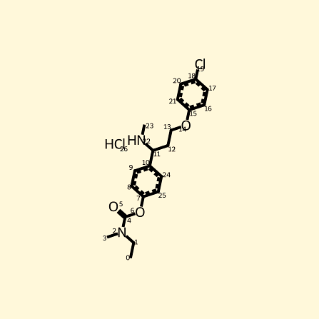 CCN(C)C(=O)Oc1ccc(C(CCOc2ccc(Cl)cc2)NC)cc1.Cl